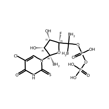 BC(B)(OP(=O)(O)OP(=O)(O)O)[C@@]1(F)O[C@@](B)(n2cc(Cl)c(=O)[nH]c2=S)[C@H](O)[C@@H]1O